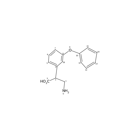 NCC(C(=O)O)c1cccc(Oc2ccccc2)c1